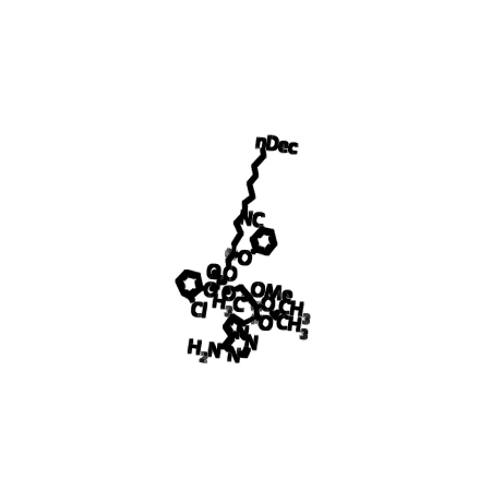 CCCCCCCCCCCCCCCCCCCC[C@H](COP(=O)(OC[C@@](C)(OC)[C@H]1OC(C)(C)O[C@H]1c1ccc2c(N)ncnn12)Oc1ccccc1Cl)Oc1cccc(C#N)c1